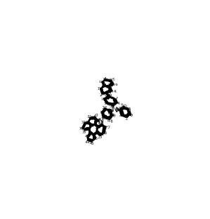 c1ccc(N(c2ccc(-c3ccc4ccccc4c3)cc2)c2ccc(-n3c4cccc5c4c4c6c(cccc6ccc43)-c3ccccc3-5)cc2)cc1